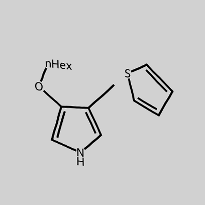 CCCCCCOc1c[nH]cc1C.c1ccsc1